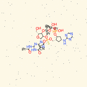 CC(C)C(=O)Nc1nc2c(ncn2[C@@H]2O[C@H](CO)[C@@H](O[Si](O[Si](O)(C(C)C)C(C)C)(C(C)C)C(C)C)[C@H]2OP(=S)(OCCC#N)OC[C@H]2C[C@@H](Nc3ncncn3)C[C@@H]2O[PH](=O)O)c(=O)[nH]1